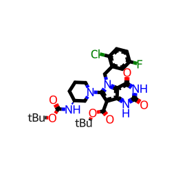 CC(C)(C)OC(=O)N[C@@H]1CCCN(c2c(C(=O)OC(C)(C)C)c3[nH]c(=O)[nH]c(=O)c3n2Cc2cc(F)ccc2Cl)C1